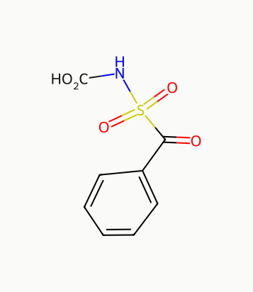 O=C(O)NS(=O)(=O)C(=O)c1ccccc1